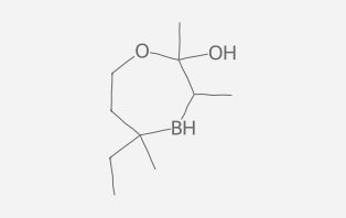 CCC1(C)BC(C)C(C)(O)OCC1